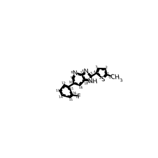 Cc1ccc(-c2nc3ncc(-c4ccccc4F)cc3[nH]2)s1